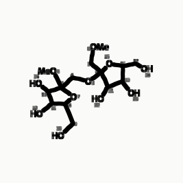 COCC1(OCC2(OC)OC(CO)C(O)C2O)OC(CO)C(O)C1O